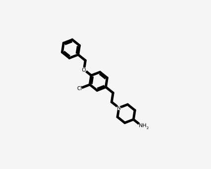 NC1CCN(CCc2ccc(OCc3ccccc3)c(Cl)c2)CC1